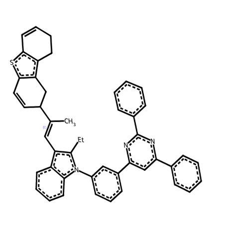 CCc1c(/C=C(\C)C2C=Cc3sc4c(c3C2)CCC=C4)c2ccccc2n1-c1cccc(-c2cc(-c3ccccc3)nc(-c3ccccc3)n2)c1